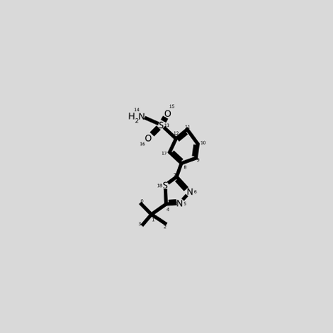 CC(C)(C)c1nnc(-c2cccc(S(N)(=O)=O)c2)s1